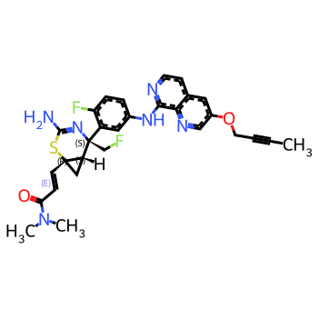 CC#CCOc1cnc2c(Nc3ccc(F)c([C@@]4(CF)N=C(N)S[C@@]5(/C=C/C(=O)N(C)C)C[C@H]54)c3)nccc2c1